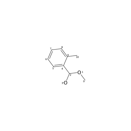 COC([O])c1ccccc1C